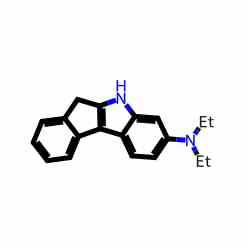 CCN(CC)c1ccc2c3c([nH]c2c1)Cc1ccccc1-3